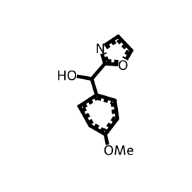 COc1ccc(C(O)c2ncco2)cc1